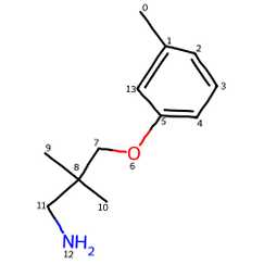 Cc1cccc(OCC(C)(C)CN)c1